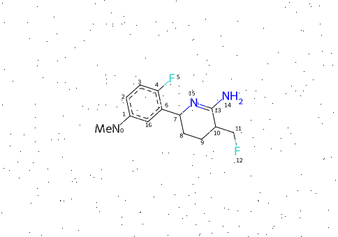 CNc1ccc(F)c(C2CCC(CF)C(N)=N2)c1